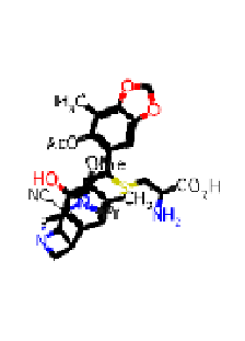 COc1c(C)cc2c(c1O)C[N@@]1CC2C1[C@H](C#N)N(CC(SCC(N)C(=O)O)c1cc2c(c(C)c1OC(C)=O)OCO2)C(C)C